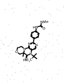 CNC(=O)Nc1ccc(-c2ncc3c(n2)N2CCOCC2(C)C(=O)N3C(C)(C)C(=O)O)cc1